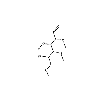 O=C[C@H](OI)[C@@H](OI)[C@H](OI)[C@H](O)COI